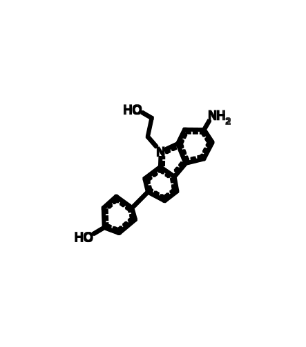 Nc1ccc2c3ccc(-c4ccc(O)cc4)cc3n(CCO)c2c1